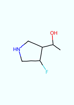 CC(O)C1CNCC1F